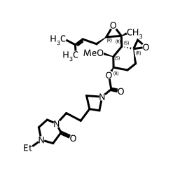 CCN1CCN(CCC2CN(C(=O)O[C@@H]3CC[C@]4(CO4)[C@@H]([C@@]4(C)O[C@@H]4CC=C(C)C)[C@@H]3OC)C2)C(=O)C1